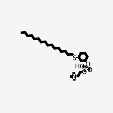 CCCCCCCCCCCCCCCCS[C@H]1CCC[C@@H](OP(=O)(O)OCC[N+](C)(C)C)C1